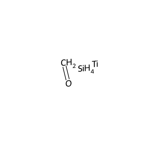 C=O.[SiH4].[Ti]